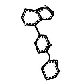 c1ccc(-c2ccc(-c3nccc4sccc34)cc2)cc1